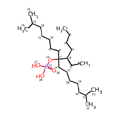 CCCCC(CC)C(CCCCCC(C)C)(CCCCCC(C)C)OP(=O)(O)O